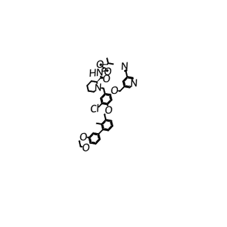 Cc1c(COc2cc(OCc3cncc(C#N)c3)c(CN3CCCC[C@H]3C(=O)NS(=O)(=O)C(C)C)cc2Cl)cccc1-c1ccc2c(c1)OCCO2